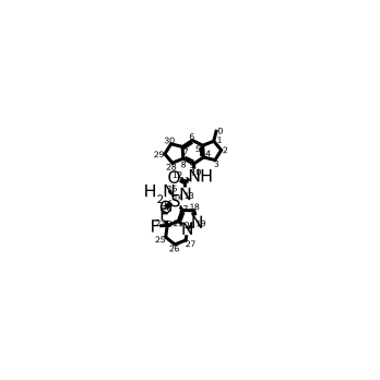 CC1CCc2c1cc1c(c2NC(=O)N=S(N)(=O)c2cnn3c2C(F)(F)CCC3)CCC1